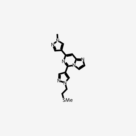 CSCCn1cc(-c2nc(-c3cnn(C)c3)cc3nccn23)cn1